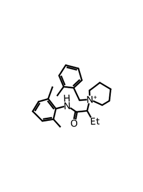 CCC(C(=O)Nc1c(C)cccc1C)[N+]1(Cc2ccccc2C)CCCCC1